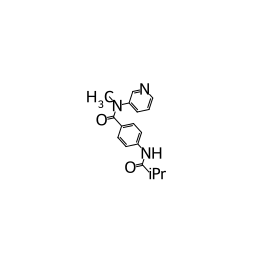 CC(C)C(=O)Nc1ccc(C(=O)N(C)c2cccnc2)cc1